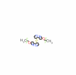 CC(F)(F)COc1ccc(-c2ncccc2SSc2cccnc2-c2ccc(OCC(C)(F)F)cn2)nc1